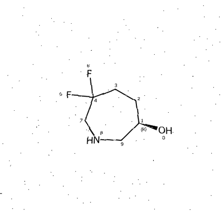 O[C@@H]1CCC(F)(F)CNC1